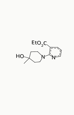 CCOC(=O)c1cccnc1N1CCC(C)(O)CC1